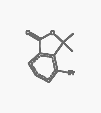 CC(C)c1cccc2c1C(C)(C)OC2=O